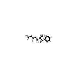 CC(C)CNC[C@H](O)[C@@H](N)Cc1ccccc1